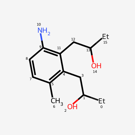 CCC(O)Cc1c(C)ccc(N)c1CC(O)CC